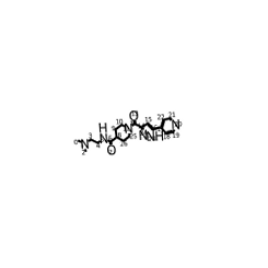 CN(C)CCNC(=O)C1CCN(C(=O)c2cc(-c3ccncc3)[nH]n2)CC1